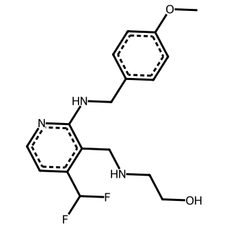 COc1ccc(CNc2nccc(C(F)F)c2CNCCO)cc1